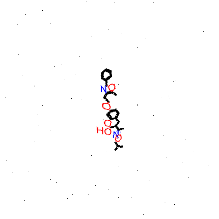 C/C(=N\OCC(C)C)C(Cc1ccc(OCCc2nc(-c3ccccc3)oc2C)cc1)C(=O)O